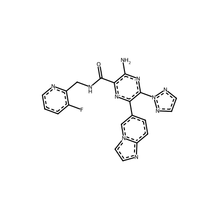 Nc1nc(-n2nccn2)c(-c2ccc3nccn3c2)nc1C(=O)NCc1ncccc1F